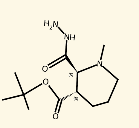 CN1CCC[C@H](C(=O)OC(C)(C)C)[C@H]1C(=O)NN